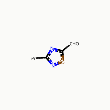 CC(C)c1nsc(C=O)n1